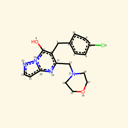 Oc1c(Cc2ccc(Cl)cc2)c(CN2CCOCC2)nc2ccnn12